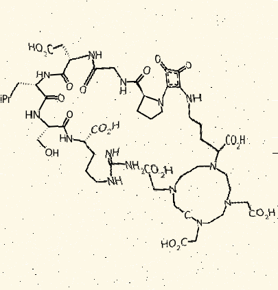 CC(C)C[C@H](NC(=O)[C@H](CC(=O)O)NC(=O)CNC(=O)[C@@H]1CCCN1c1c(NCCCC(C(=O)O)N2CCN(CC(=O)O)CCN(CC(=O)O)CCN(CC(=O)O)CC2)c(=O)c1=O)C(=O)N[C@@H](CO)C(=O)N[C@@H](CCCNC(=N)N)C(=O)O